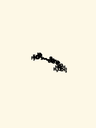 CC(C)(C)NC(=O)N1CCN(Cc2cc(=O)c(OCCCCCSc3ccnc4cc(C(F)(F)F)ccc34)co2)CC1